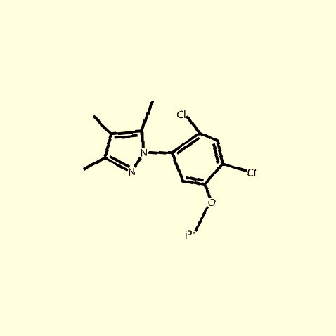 Cc1nn(-c2cc(OC(C)C)c(Cl)cc2Cl)c(C)c1C